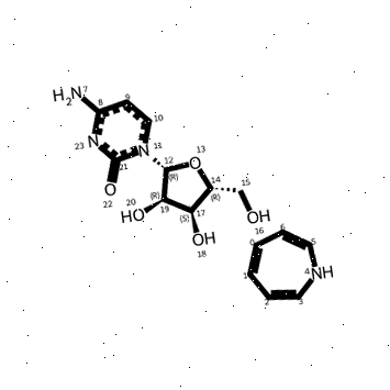 C1=CC=CNC=C1.Nc1ccn([C@@H]2O[C@H](CO)[C@@H](O)[C@H]2O)c(=O)n1